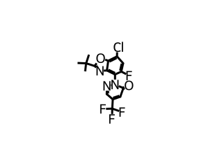 CC(C)(C)c1nc2c(-n3ncc(C(F)(F)F)cc3=O)c(F)cc(Cl)c2o1